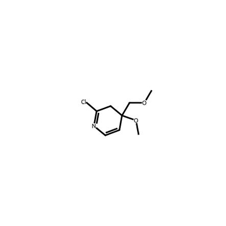 COCC1(OC)C=CN=C(Cl)C1